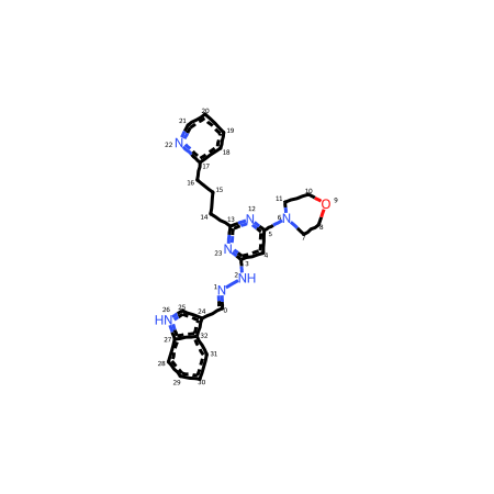 C(=NNc1cc(N2CCOCC2)nc(CCCc2ccccn2)n1)c1c[nH]c2ccccc12